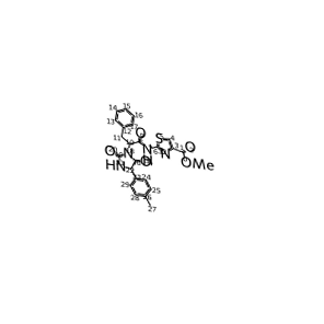 COC(=O)c1csc(NC(=O)C(Cc2ccccc2)N2C(=O)NC(c3ccc(C)cc3)C2=O)n1